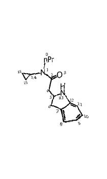 CCCN(C(=O)CC1Cc2ccccc2N1)C1CC1